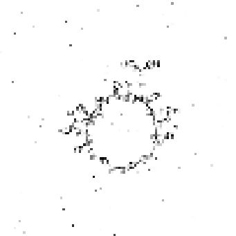 CC(O)[C@@H]1NC(=O)N[C@@H](CCC(O)O)C(=O)NNC(=O)[C@@H](C(C)O)NC(=O)COCCOCCNC1=O